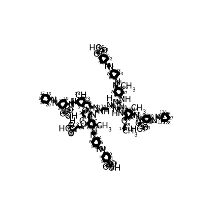 CCCOc1cc(N=Nc2ccc(N=Nc3ccccc3)cc2S(=O)(=O)O)c(C)cc1Cc1nc(Cc2cc(C)c(N=Nc3ccc(N=Nc4ccc(S(=O)(=O)O)cc4)cc3)cc2OCCCS(=O)(=O)O)nc(NCCNc2nc(Nc3ccc(N=Nc4ccc(N=Nc5ccc(S(=O)(=O)O)cc5)cc4)c(C)c3)nc(Nc3cc(C)c(N=Nc4ccc(N=Nc5ccccc5)cc4S(=O)(=O)O)cc3OCCC)n2)n1